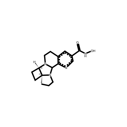 O=C(NO)c1cnc2c(c1)CCN1C2N2CCC[C@@]23CC[C@@H]13